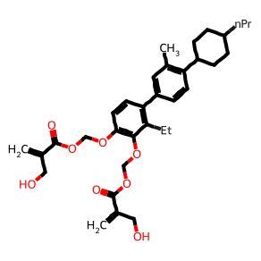 C=C(CO)C(=O)OCOc1ccc(-c2ccc(C3CCC(CCC)CC3)c(C)c2)c(CC)c1OCOC(=O)C(=C)CO